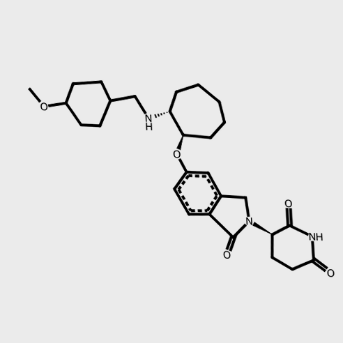 COC1CCC(CN[C@@H]2CCCCC[C@H]2Oc2ccc3c(c2)CN([C@@H]2CCC(=O)NC2=O)C3=O)CC1